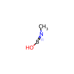 C/N=B/O